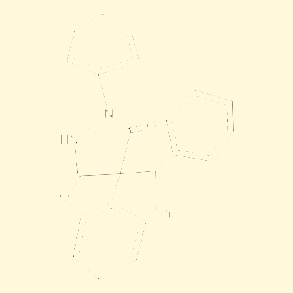 CCCC(c1ccccc1)C1(c2ccccc2)C(=O)NN(c2ccccc2)C1=O